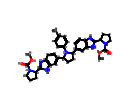 CC(C)(C)OC(=O)N1CCCC1c1nc2ccc(C3CCC(c4ccc5nc(C6CCCN6C(=O)OC(C)(C)C)[nH]c5c4)N3c3ccc(C(C)(C)C)cc3)cc2[nH]1